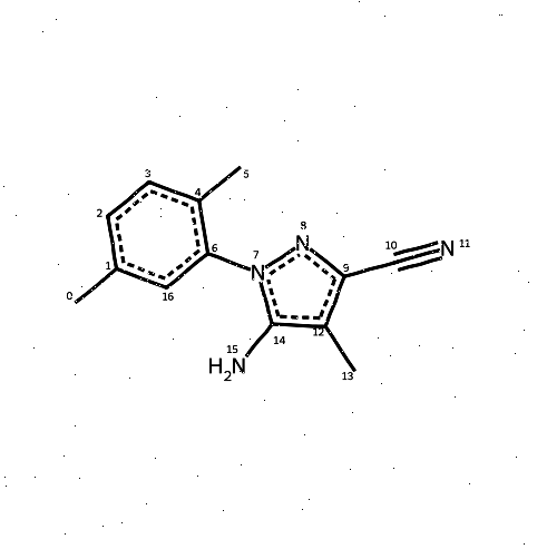 Cc1ccc(C)c(-n2nc(C#N)c(C)c2N)c1